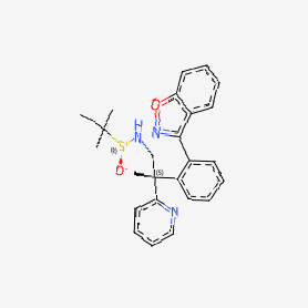 CC(C)(C)[S@+]([O-])NC[C@@](C)(c1ccccn1)c1ccccc1-c1noc2ccccc12